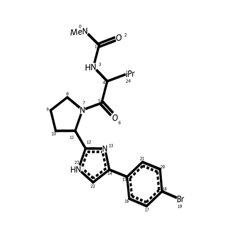 CNC(=O)NC(C(=O)N1CCCC1c1nc(-c2ccc(Br)cc2)c[nH]1)C(C)C